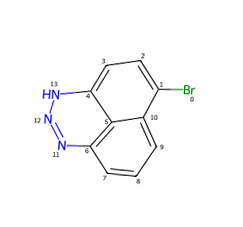 Brc1ccc2c3c(cccc13)N=NN2